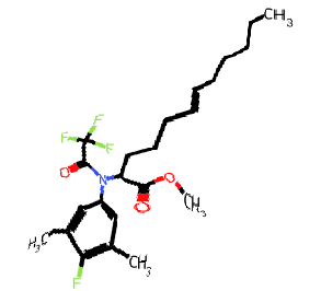 CCCCC/C=C/CCCC(C(=O)OC)N(C(=O)C(F)(F)F)c1cc(C)c(F)c(C)c1